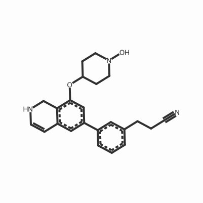 N#CCCc1cccc(-c2cc3c(c(OC4CCN(O)CC4)c2)CNC=C3)c1